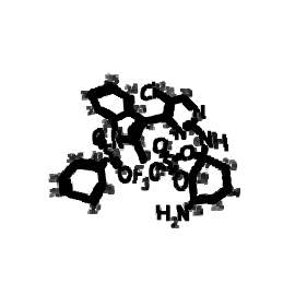 Cc1c(-c2nc(N[C@@]3(OS(=O)(=O)C(F)(F)F)CCC[C@@H](N)C3)ncc2Cl)c2ccccc2n1S(=O)(=O)c1ccccc1